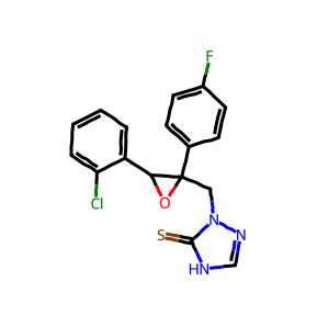 Fc1ccc(C2(Cn3nc[nH]c3=S)OC2c2ccccc2Cl)cc1